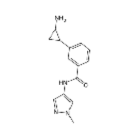 Cn1cc(NC(=O)c2cccc(C3CC3N)c2)cn1